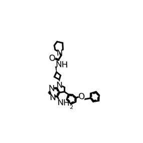 Nc1ncnc2c1C(c1cccc(OCc3ccccc3)c1)CN2[C@H]1C[C@H](CNC(=O)CN2CCCCC2)C1